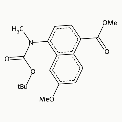 COC(=O)c1ccc(N(C)C(=O)OC(C)(C)C)c2cc(OC)ccc12